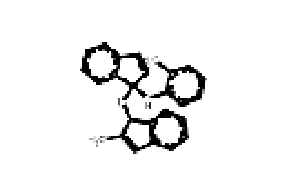 CC1=Cc2ccccc2[CH]1[Ti][C]1(Pc2ccccc2C)C=Cc2ccccc21